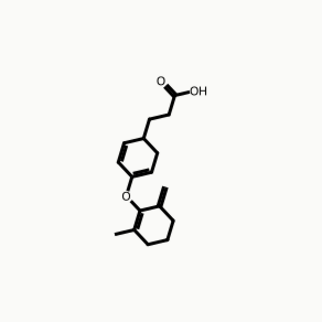 C=C1CCCC(C)=C1OC1=CCC(CCC(=O)O)C=C1